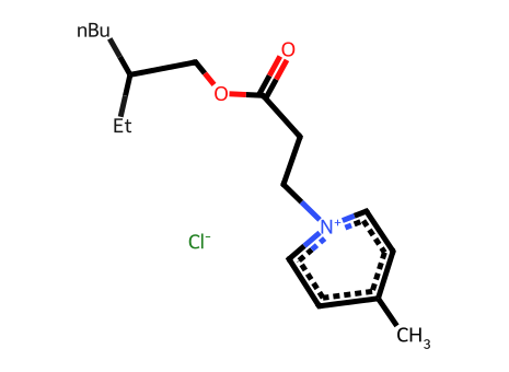 CCCCC(CC)COC(=O)CC[n+]1ccc(C)cc1.[Cl-]